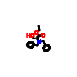 CCOC(=O)[C@@H](CO)N(Cc1ccccc1)Cc1ccccc1